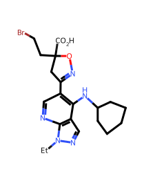 CCn1ncc2c(NC3CCCCC3)c(C3=NOC(CCBr)(C(=O)O)C3)cnc21